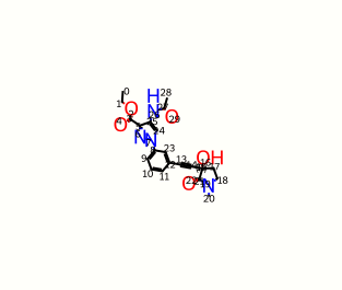 CCOC(=O)c1nn(-c2cccc(C#C[C@]3(O)CCN(C)C3=O)c2)cc1NC(C)=O